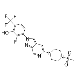 CS(=O)(=O)N1CCN(c2cc3cn(-c4ccc(C(F)(F)F)c(O)c4F)nc3cn2)CC1